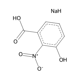 O=C(O)c1cccc(O)c1[N+](=O)[O-].[NaH]